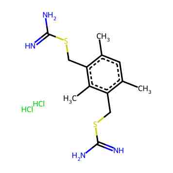 Cc1cc(C)c(CSC(=N)N)c(C)c1CSC(=N)N.Cl.Cl